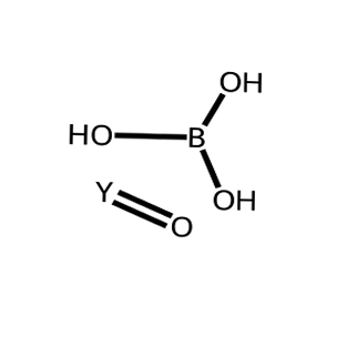 OB(O)O.[O]=[Y]